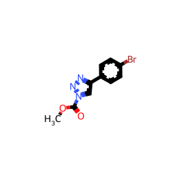 COC(=O)n1cc(-c2ccc(Br)cc2)nn1